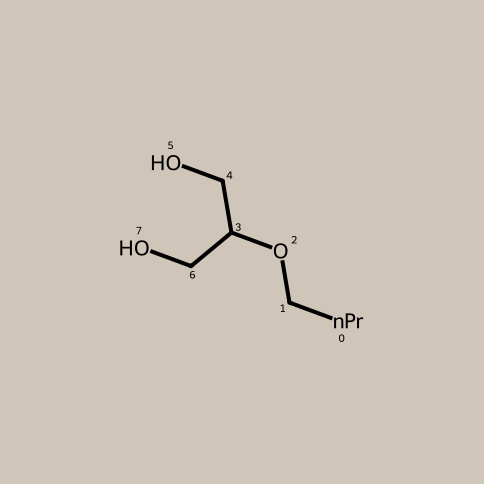 CCCCOC(CO)CO